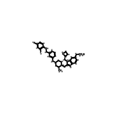 C[C@H]1C[C@@H](Oc2ccnc(COc3ccc(F)cc3F)n2)CCN1Cc1nc2ccc(CC(=O)O)cc2n1C[C@@H]1CCO1